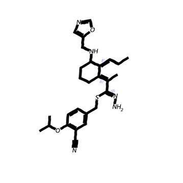 CC\C=C1/C(=C(C)/C(=N/N)SCc2ccc(OC(C)C)c(C#N)c2)CCCC1NCc1cnco1